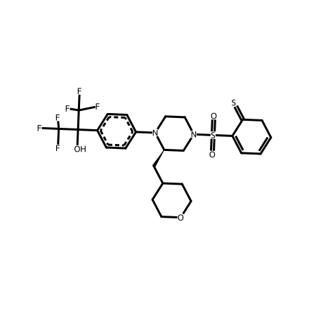 O=S(=O)(C1=CC=CCC1=S)N1CCN(c2ccc(C(O)(C(F)(F)F)C(F)(F)F)cc2)[C@H](CC2CCOCC2)C1